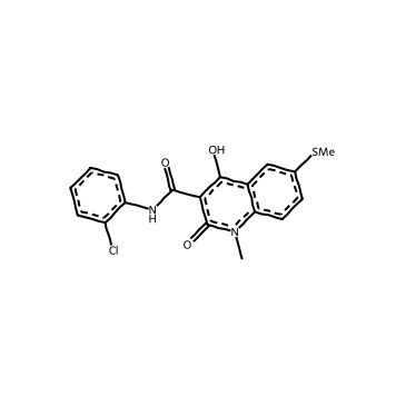 CSc1ccc2c(c1)c(O)c(C(=O)Nc1ccccc1Cl)c(=O)n2C